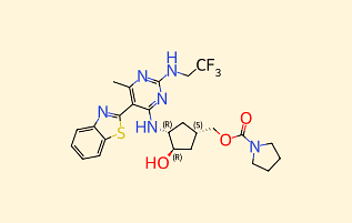 Cc1nc(NCC(F)(F)F)nc(N[C@@H]2C[C@H](COC(=O)N3CCCC3)C[C@H]2O)c1-c1nc2ccccc2s1